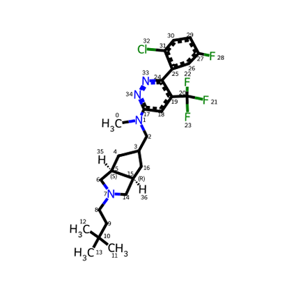 CN(CC1C[C@@H]2CN(CCC(C)(C)C)C[C@@H]2C1)c1cc(C(F)(F)F)c(-c2cc(F)ccc2Cl)nn1